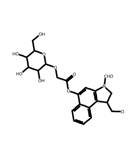 O=CN1CC(CCl)c2c1cc(OC(=O)COC1OC(CO)C(O)C(O)C1O)c1ccccc21